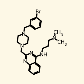 CN(C)CCCNc1nc(CN2CCN(Cc3cccc(Br)c3)CC2)nc2ccccc12